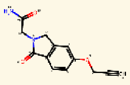 C#CCOc1ccc2c(c1)CN(CC(N)=O)C2=O